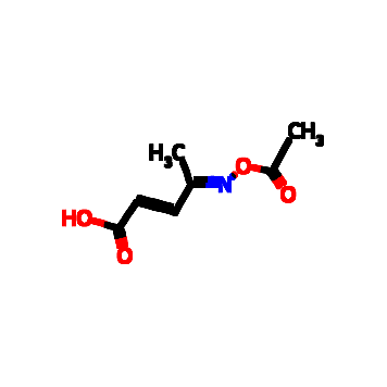 CC(=O)O/N=C(C)/C=C/C(=O)O